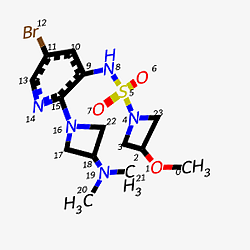 COC1CN(S(=O)(=O)Nc2cc(Br)cnc2N2CC(N(C)C)C2)C1